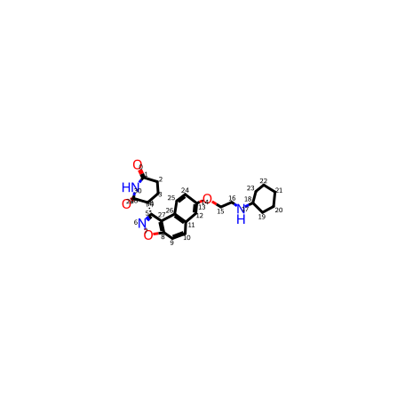 O=C1CC[C@H](c2noc3ccc4cc(OCCNC5CCCCC5)ccc4c23)C(=O)N1